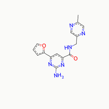 Cc1cnc(CNC(=O)c2cc(-c3ccco3)nc(N)n2)cn1